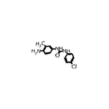 Cc1cc(NC(=O)Nc2ccc(Cl)cc2)ccc1N